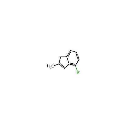 CC1=Cc2c(Br)cccc2[CH]1